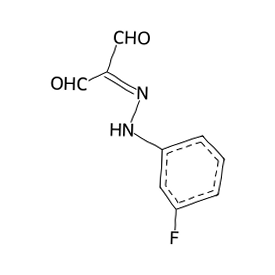 O=CC(C=O)=NNc1cccc(F)c1